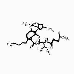 CCCCCc1cc2c(c(OC(=O)C(NC(=O)CCC(=O)O)C(C)C)c1C(=O)O)-c1cc(C)ccc1C(C)(C)O2